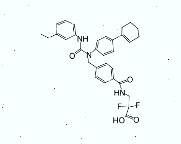 CCc1cccc(NC(=O)N(Cc2ccc(C(=O)NCC(F)(F)C(=O)O)cc2)c2ccc(C3=CCCCC3)cc2)c1